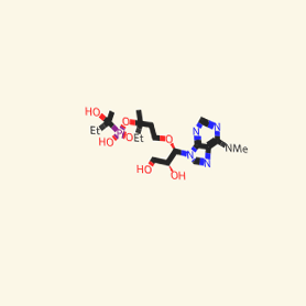 CCC(C)(CCO[C@H]([C@H](O)CO)n1cnc2c(NC)ncnc21)OP(=O)(O)C(C)(O)CC